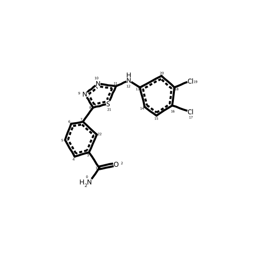 NC(=O)c1cccc(-c2nnc(Nc3ccc(Cl)c(Cl)c3)s2)c1